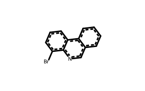 Brc1cccc2c1ncc1ccccc12